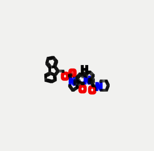 O=C([C@@H]1CC[C@H]2C=C[C@]3(CCCN3C(=O)OCC3c4ccccc4-c4ccccc43)C(=O)N21)N1CCCCC1